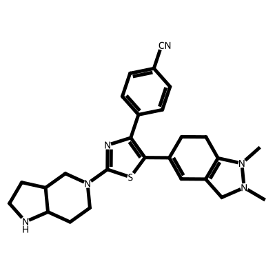 CN1CC2=C(CCC(c3sc(N4CCC5NCCC5C4)nc3-c3ccc(C#N)cc3)=C2)N1C